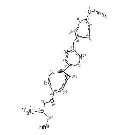 CCCCCCOc1ccc(-c2ncc(-c3ccc(OCC(C)OCCC)cc3)cn2)cc1